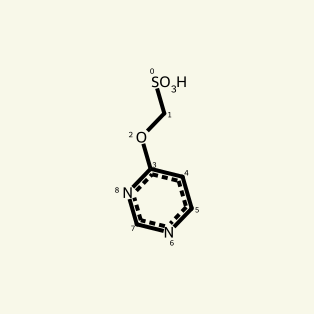 O=S(=O)(O)COc1ccncn1